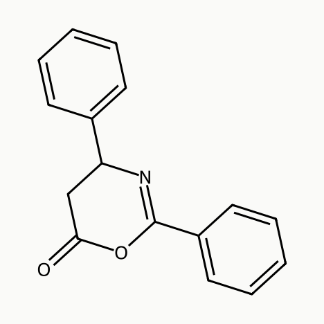 O=C1CC(c2ccccc2)N=C(c2ccccc2)O1